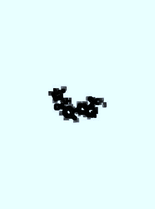 C=C(c1nncc2cc(-c3cc(C(=O)Nc4ccnn4C)ccc3C)ccc12)C(F)(F)F